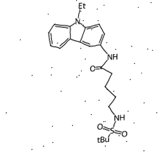 CCn1c2ccccc2c2cc(NC(=O)CCCCNS(=O)(=O)C(C)(C)C)ccc21